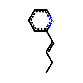 CCC=Cc1ccccn1